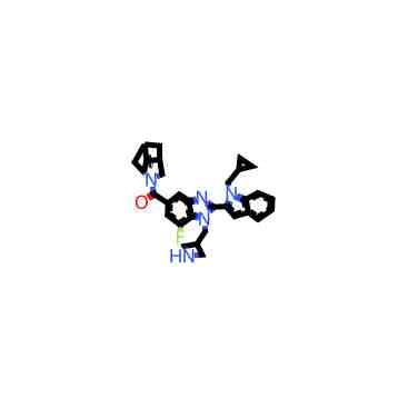 O=C(c1cc(F)c2c(c1)nc(-c1cc3ccccc3n1CC1CC1)n2CC1CNC1)N1CC2CC3CC1[C@H]32